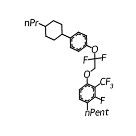 CCCCCc1ccc(OCC(F)(F)Oc2ccc(C3CCC(CCC)CC3)cc2)c(C(F)(F)F)c1F